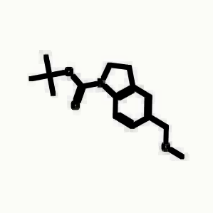 COCc1ccc2c(c1)CCN2C(=O)OC(C)(C)C